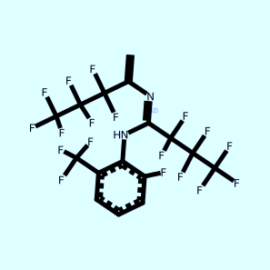 C=C(/N=C(\Nc1c(F)cccc1C(F)(F)F)C(F)(F)C(F)(F)C(F)(F)F)C(F)(F)C(F)(F)C(F)(F)F